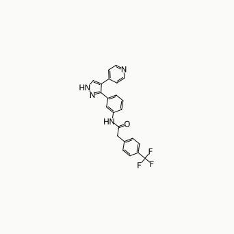 O=C(Cc1ccc(C(F)(F)F)cc1)Nc1cccc(-c2n[nH]cc2-c2ccncc2)c1